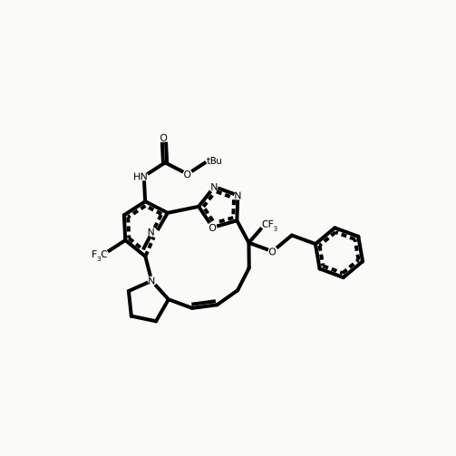 CC(C)(C)OC(=O)Nc1cc(C(F)(F)F)c2nc1-c1nnc(o1)C(OCc1ccccc1)(C(F)(F)F)CCC=CC1CCCN21